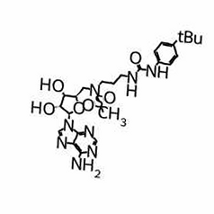 CC(C)(C)c1ccc(NC(=O)NCCCN(C[C@H]2O[C@@H](n3cnc4c(N)ncnc43)[C@H](O)[C@H]2O)S(C)(=O)=O)cc1